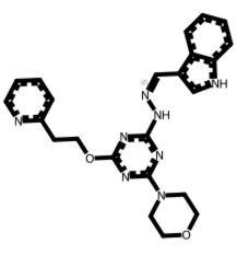 C(=N/Nc1nc(OCCc2ccccn2)nc(N2CCOCC2)n1)/c1c[nH]c2ccccc12